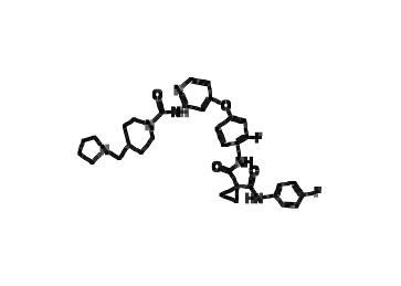 O=C(Nc1cc(Oc2ccc(NC(=O)C3(C(=O)Nc4ccc(F)cc4)CC3)c(F)c2)ccn1)N1CCC(CN2CCCC2)CC1